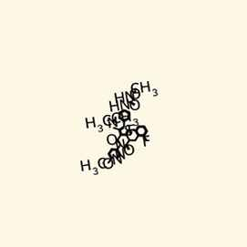 CONC(=O)Nc1ccc(-c2sc3c(c2CN(C)C)C(=O)N(c2ccc(OC)nn2)C(=O)C3Cc2c(F)cccc2F)cc1